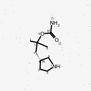 CC(C)(C[C@H]1CCNC1)OC(N)=O